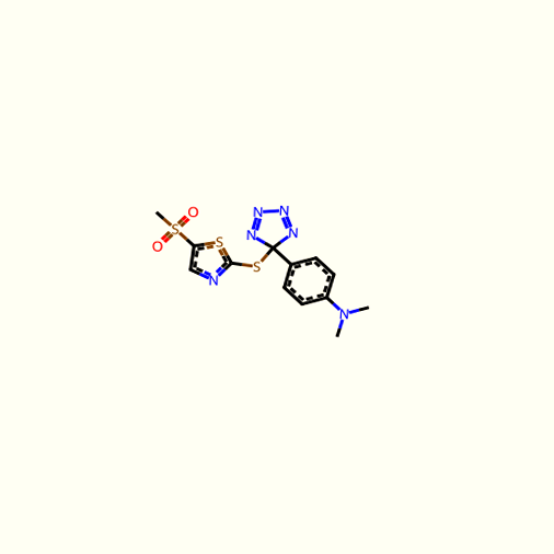 CN(C)c1ccc(C2(Sc3ncc(S(C)(=O)=O)s3)N=NN=N2)cc1